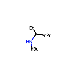 [CH2]CC[CH]NC(CC)CCC